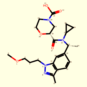 COCCCn1nc(C)c2ccc([C@@H](C)N(C(=O)[C@H]3CN(C(=O)O)CCO3)C3CC3)cc21